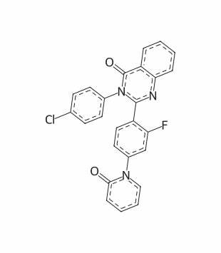 O=c1ccccn1-c1ccc(-c2nc3ccccc3c(=O)n2-c2ccc(Cl)cc2)c(F)c1